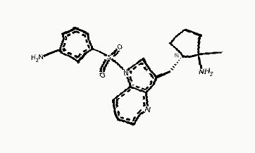 CC1(N)CCC[C@H]1Cc1cn(S(=O)(=O)c2cccc(N)c2)c2cccnc12